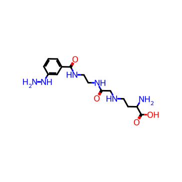 NNc1cccc(C(=O)NCCNC(=O)CNCCC(N)C(=O)O)c1